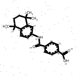 CC1(C)CCC(C)(I)c2ccc(NC(=O)c3ccc(C(=O)O)cc3)cc21